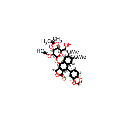 C#COC1C(Oc2c3c(c(-c4ccc5c(c4)OCO5)c4cc(OC)c(OC)cc24)C(=O)OC3)OC(CO)C2OC(C)(C)OC21